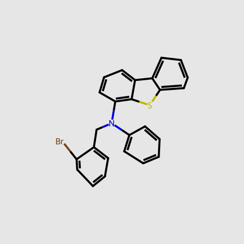 Brc1ccccc1CN(c1ccccc1)c1cccc2c1sc1ccccc12